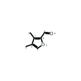 Cc1coc([C]=O)c1C